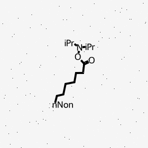 CCCCCCCCCCCCCCCC(=O)ON(C(C)C)C(C)C